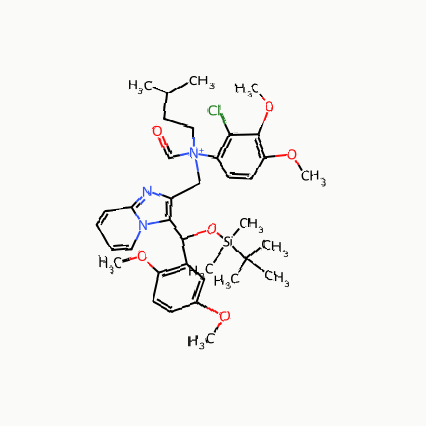 COc1ccc(OC)c(C(O[Si](C)(C)C(C)(C)C)c2c(C[N+](C=O)(CCC(C)C)c3ccc(OC)c(OC)c3Cl)nc3ccccn23)c1